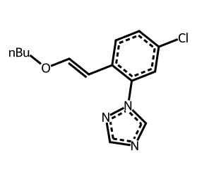 CCCCOC=Cc1ccc(Cl)cc1-n1cncn1